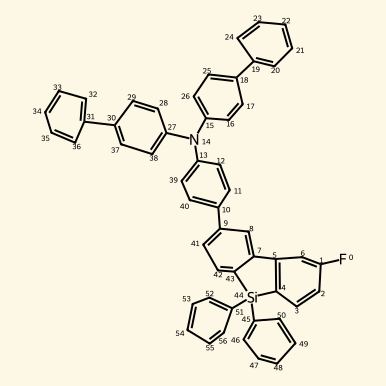 Fc1ccc2c(c1)-c1cc(-c3ccc(N(c4ccc(-c5ccccc5)cc4)c4ccc(-c5ccccc5)cc4)cc3)ccc1[Si]2(c1ccccc1)c1ccccc1